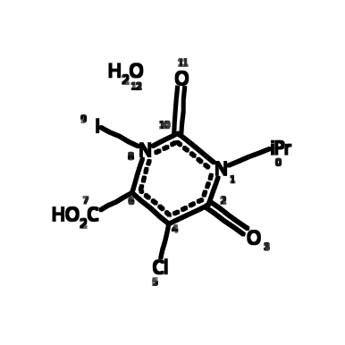 CC(C)n1c(=O)c(Cl)c(C(=O)O)n(I)c1=O.O